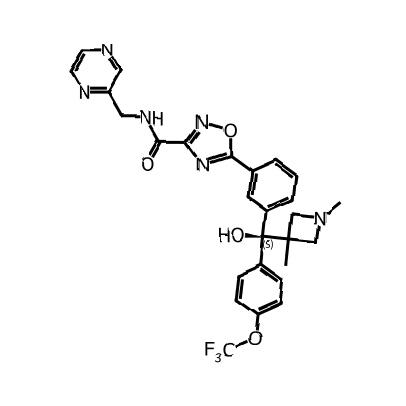 CN1CC(C)([C@](O)(c2ccc(OC(F)(F)F)cc2)c2cccc(-c3nc(C(=O)NCc4cnccn4)no3)c2)C1